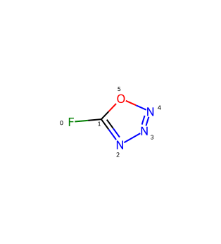 Fc1nnno1